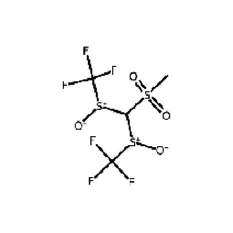 CS(=O)(=O)C([S+]([O-])C(F)(F)F)[S+]([O-])C(F)(F)F